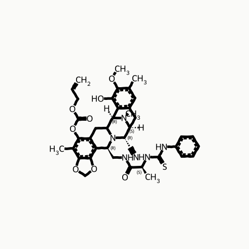 C=CCOC(=O)Oc1c(C)c2c(c3c1CC1[C@H]4c5c(cc(C)c(OC)c5O)C[C@@H]([C@H](C#N)N1[C@H]3CNC(=O)[C@H](C)NC(=S)Nc1ccccc1)N4C)OCO2